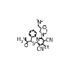 CCc1c(C#N)c(SC(C(N)=O)c2ccccc2)nc(N2CCOC(CN(C)C)C2)c1C#N